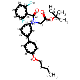 CCCCOc1ccc(-c2cccc(N(CC(=O)OC(C)(C)C)C(=O)c3c(F)cccc3F)c2)cc1